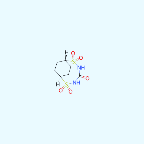 O=C1NS(=O)(=O)[C@H]2CC[C@@H](CC2)S(=O)(=O)N1